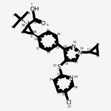 CC(C)(C)[C@@]1(C(=O)O)C[C@@H]1c1ccc(-c2nn(C3CC3)cc2Sc2ccc(Cl)cn2)cc1